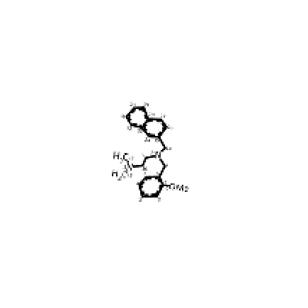 COc1ccccc1CN(CCN(C)C)Cc1ccc2ccccc2c1